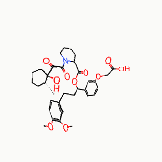 COc1ccc(CC[C@@H](OC(=O)C2CCCCN2C(=O)C(=O)[C@@]2(O)CCCC[C@H]2C)c2cccc(OCC(=O)O)c2)cc1OC